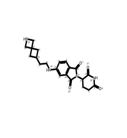 O=C1CCC(N2C(=O)c3ccc(NCCC4CC5(CNC5)C4)cc3C2=O)C(=O)N1